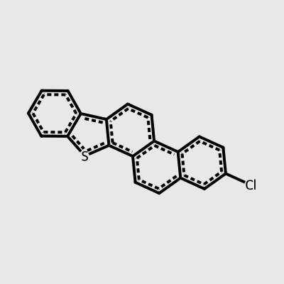 Clc1ccc2c(ccc3c2ccc2c4ccccc4sc23)c1